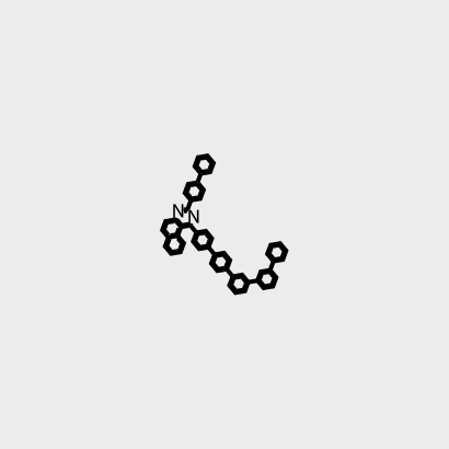 c1ccc(-c2ccc(-c3nc(-c4ccc(-c5ccc(-c6cccc(-c7cccc(-c8ccccc8)c7)c6)cc5)cc4)c4c(ccc5ccccc54)n3)cc2)cc1